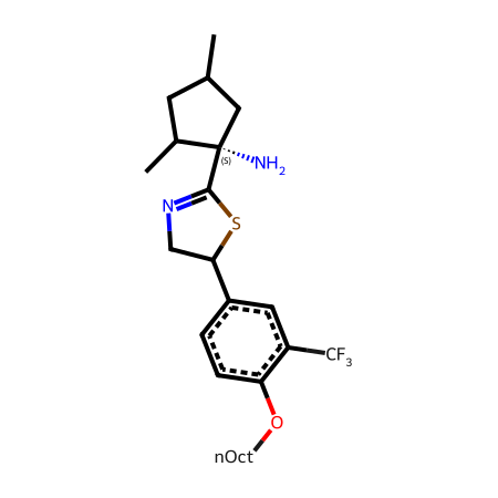 CCCCCCCCOc1ccc(C2CN=C([C@]3(N)CC(C)CC3C)S2)cc1C(F)(F)F